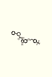 O=C(Nc1c[nH]c2ccc(OCCc3ccc(C(F)(F)F)cc3)cc12)N1CCC[C@H](c2ccccc2)C1